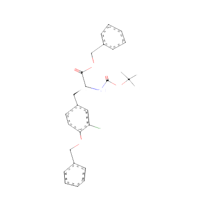 CC(C)(C)OC(=O)N[C@@H](Cc1ccc(OCc2ccccc2)c(F)c1)C(=O)OCc1ccccc1